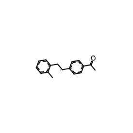 CC(=O)c1ccc([CH]Cc2ccccc2C)cc1